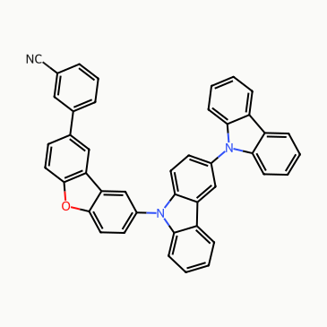 N#Cc1cccc(-c2ccc3oc4ccc(-n5c6ccccc6c6cc(-n7c8ccccc8c8ccccc87)ccc65)cc4c3c2)c1